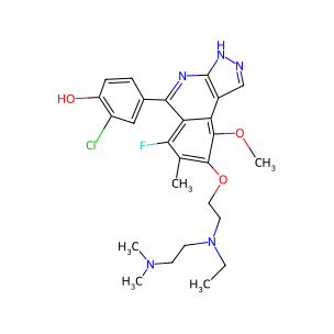 CCN(CCOc1c(C)c(F)c2c(-c3ccc(O)c(Cl)c3)nc3[nH]ncc3c2c1OC)CCN(C)C